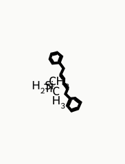 C(C=CCc1ccccc1)=CCc1ccccc1.C[SiH2]C.[Ti]